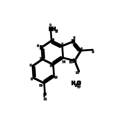 Cc1nc2c(N)nc3ccc(F)cc3c2n1C.O